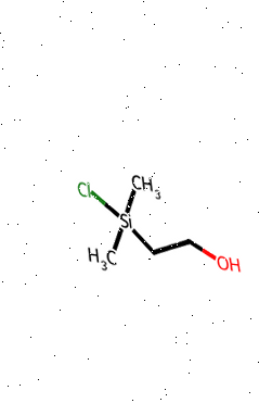 C[Si](C)(Cl)CCO